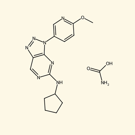 COc1ccc(-n2nnc3cnc(NC4CCCC4)nc32)cn1.NC(=O)O